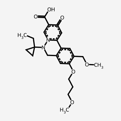 CCC1(N2Cc3cc(OCCCOC)c(COC)cc3-c3cc(=O)c(C(=O)O)cn32)CC1